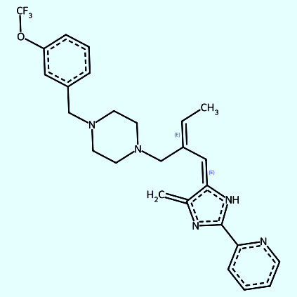 C=c1nc(-c2ccccn2)[nH]/c1=C/C(=C\C)CN1CCN(Cc2cccc(OC(F)(F)F)c2)CC1